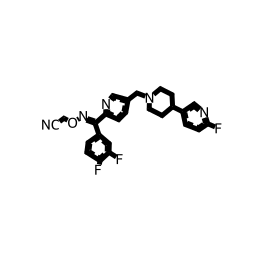 N#CCO/N=C(\c1ccc(F)c(F)c1)c1ccc(CN2CCC(c3ccc(F)nc3)CC2)cn1